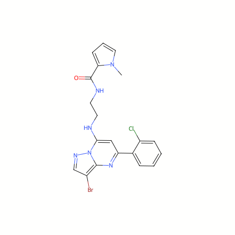 Cn1cccc1C(=O)NCCNc1cc(-c2ccccc2Cl)nc2c(Br)cnn12